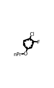 [CH2]CCOc1ccc(Cl)c(F)c1